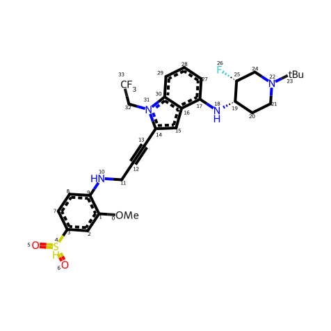 COc1cc([SH](=O)=O)ccc1NCC#Cc1cc2c(N[C@H]3CCN(C(C)(C)C)C[C@H]3F)cccc2n1CC(F)(F)F